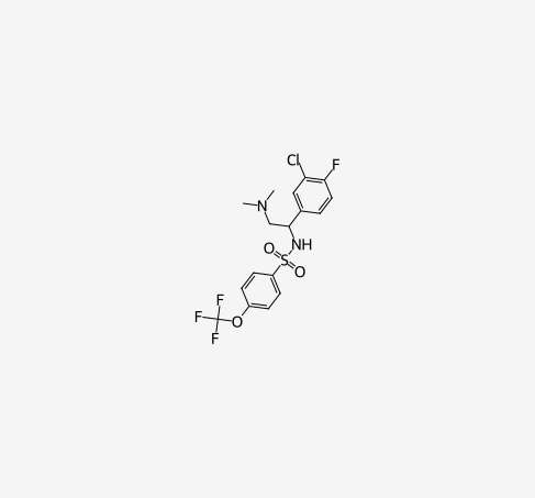 CN(C)CC(NS(=O)(=O)c1ccc(OC(F)(F)F)cc1)c1ccc(F)c(Cl)c1